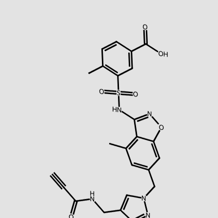 C#CC(=O)NCc1cnn(Cc2cc(C)c3c(NS(=O)(=O)c4cc(C(=O)O)ccc4C)noc3c2)c1